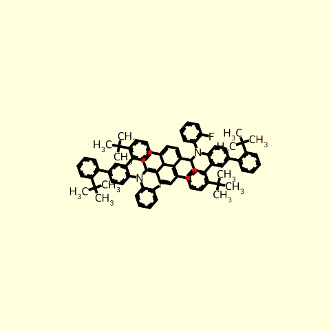 CC(C)(C)c1ccccc1-c1ccc(N(C2=C3C=CC4=C5C(=CC=C(C=C2)C35)C(N(c2ccccc2F)c2ccc(-c3ccccc3C(C)(C)C)cc2-c2ccccc2C(C)(C)C)C=C4)c2ccccc2F)c(-c2ccccc2C(C)(C)C)c1